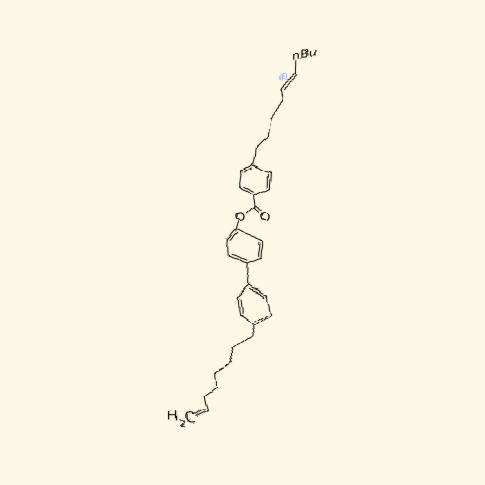 C=CCCCCCCc1ccc(-c2ccc(OC(=O)c3ccc(CCCC/C=C/CCCC)cc3)cc2)cc1